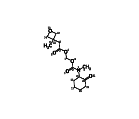 CN(C(=O)OCOC(=O)CC1(C)COC1)C1CCCCC1=O